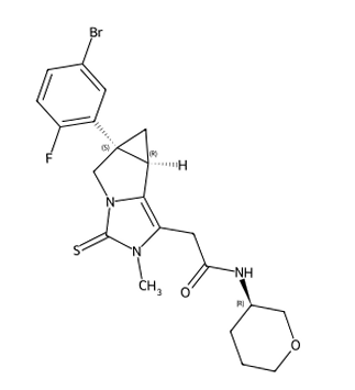 Cn1c(CC(=O)N[C@@H]2CCCOC2)c2n(c1=S)C[C@@]1(c3cc(Br)ccc3F)C[C@@H]21